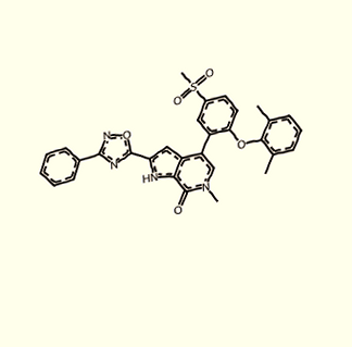 Cc1cccc(C)c1Oc1ccc(S(C)(=O)=O)cc1-c1cn(C)c(=O)c2[nH]c(-c3nc(-c4ccccc4)no3)cc12